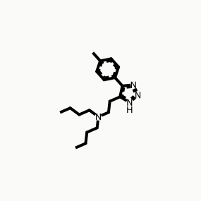 CCCCN(CCCC)CCc1[nH]nnc1-c1ccc(C)cc1